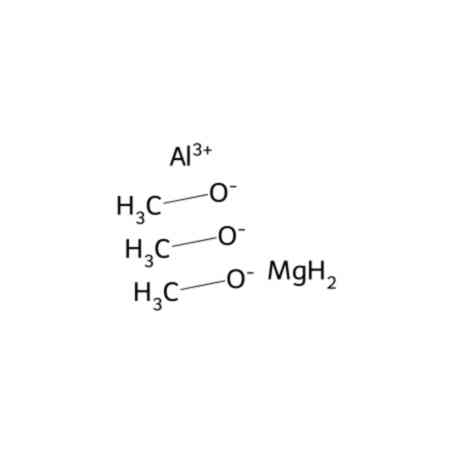 C[O-].C[O-].C[O-].[Al+3].[MgH2]